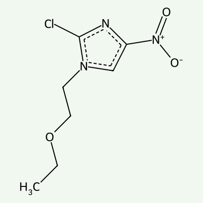 CCOCCn1cc([N+](=O)[O-])nc1Cl